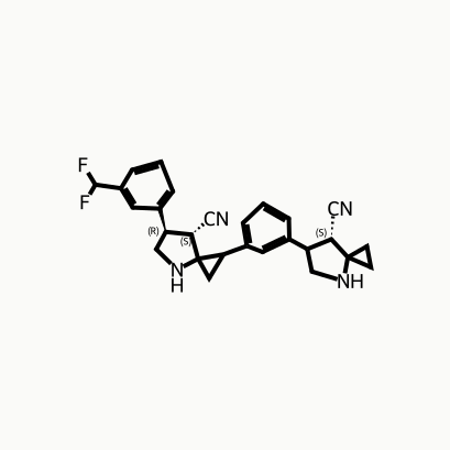 N#C[C@H]1C(c2cccc(C3CC34NC[C@@H](c3cccc(C(F)F)c3)[C@@H]4C#N)c2)CNC12CC2